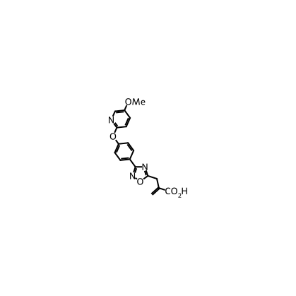 C=C(Cc1nc(-c2ccc(Oc3ccc(OC)cn3)cc2)no1)C(=O)O